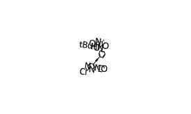 C[C@@H](C(=O)Nc1cccc(C#Cc2cnc(Cl)nc2N2CCOCC2)c1)N(C)C(=O)OC(C)(C)C